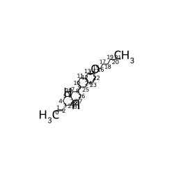 CC=C[C@@H]1CC[C@@H]2CC(C3CCc4cc(OCCCCCC)ccc4C3)CC[C@@H]2C1